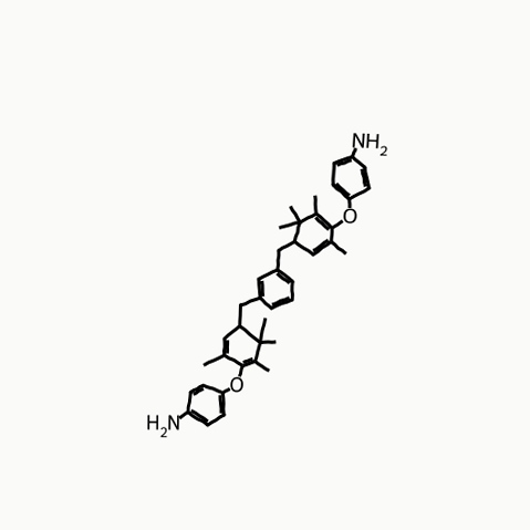 CC1=CC(Cc2cccc(CC3C=C(C)C(Oc4ccc(N)cc4)=C(C)C3(C)C)c2)C(C)(C)C(C)=C1Oc1ccc(N)cc1